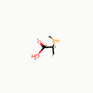 CPC(C)C(=O)O